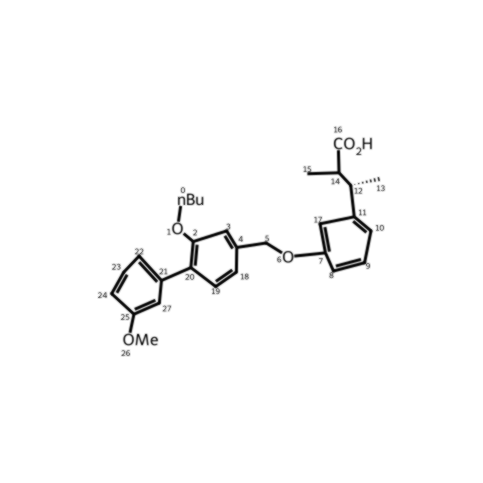 CCCCOc1cc(COc2cccc([C@@H](C)C(C)C(=O)O)c2)ccc1-c1cccc(OC)c1